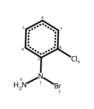 NN(Br)c1ccccc1Cl